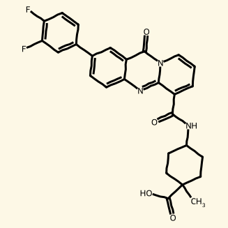 CC1(C(=O)O)CCC(NC(=O)c2cccn3c(=O)c4cc(-c5ccc(F)c(F)c5)ccc4nc23)CC1